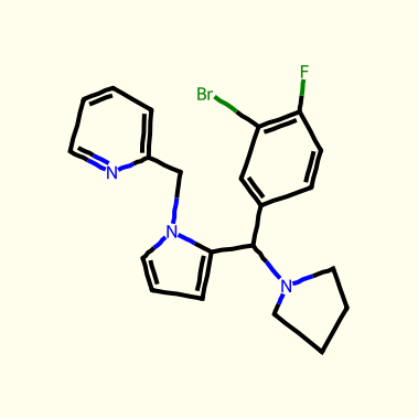 Fc1ccc(C(c2cccn2Cc2ccccn2)N2CCCC2)cc1Br